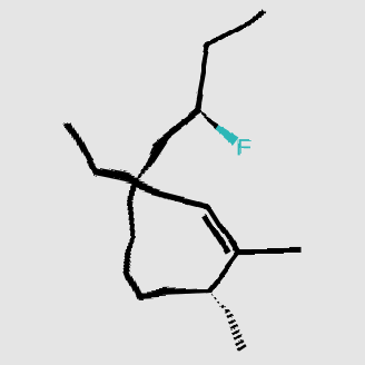 CC[C@@H](F)C[C@@]1(CC)C=C(C)[C@H](C)CC1